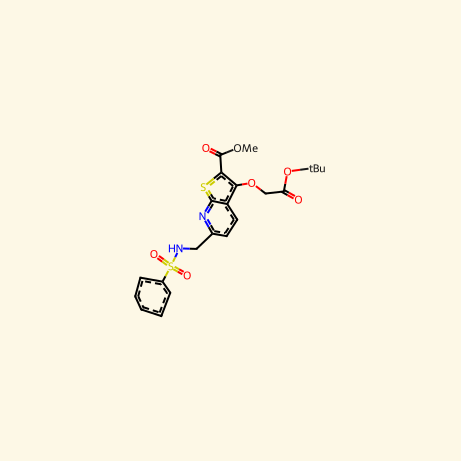 COC(=O)c1sc2nc(CNS(=O)(=O)c3ccccc3)ccc2c1OCC(=O)OC(C)(C)C